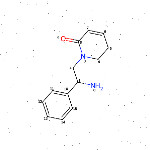 NC(CN1CCC=CC1=O)c1ccccc1